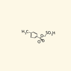 Cc1ccc(S(=O)(=O)OCS(=O)(=O)O)cc1